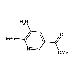 COC(=O)c1cnc(SC)c(N)c1